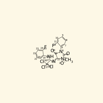 C[N+]1([O-])C(=O)N(c2ccccc2F)C(=O)C1=NC(Nc1ccccc1F)C(Cl)(Cl)Cl